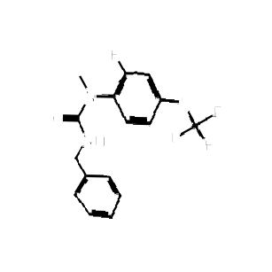 CN(C(=O)NCc1ccccc1)c1ccc(SC(F)(F)F)cc1F